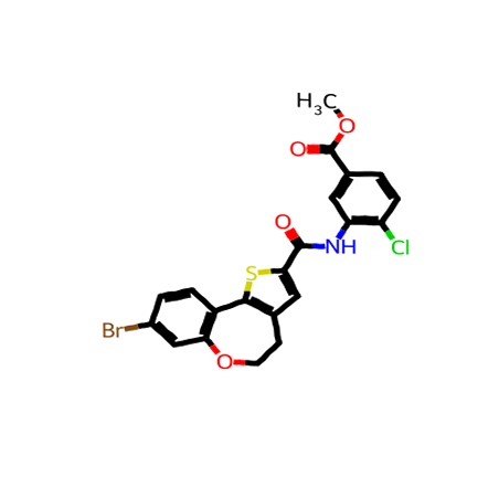 COC(=O)c1ccc(Cl)c(NC(=O)c2cc3c(s2)-c2ccc(Br)cc2OCC3)c1